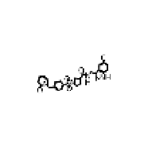 O=C(NCc1n[nH]c2ccc(Cl)cc12)C1CCN(S(=O)(=O)c2ccc(Cn3ccccc3=O)cc2)C1